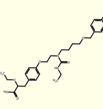 CCNC(=O)N(CCCCOCc1ccc(F)cc1)CCOc1ccc(CC(OCC)C(=O)O)cc1